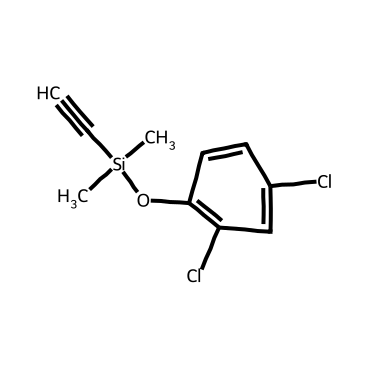 C#C[Si](C)(C)Oc1ccc(Cl)cc1Cl